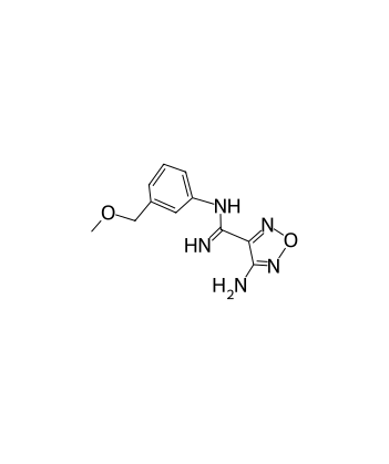 COCc1cccc(NC(=N)c2nonc2N)c1